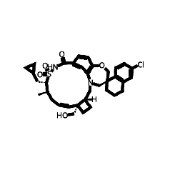 C[C@@H]1C/C=C\[C@]2(CO)CC[C@H]2CN2C[C@@]3(CCCc4cc(Cl)ccc43)COc3ccc(cc32)C(=O)NS(=O)(=O)[C@H]1CC1CC1